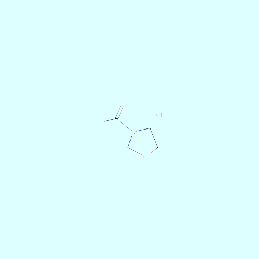 CC(=O)N1COC[C@H]1C